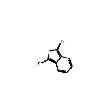 CC(C)c1sc(C(C)C)c2ccccc12